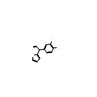 COc1ccc(C(C=O)c2cccs2)cc1OC